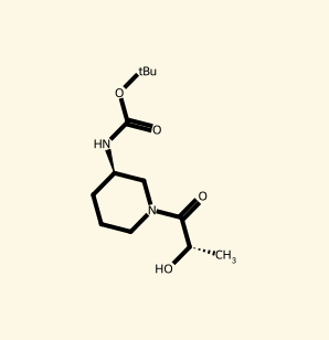 C[C@H](O)C(=O)N1CCC[C@@H](NC(=O)OC(C)(C)C)C1